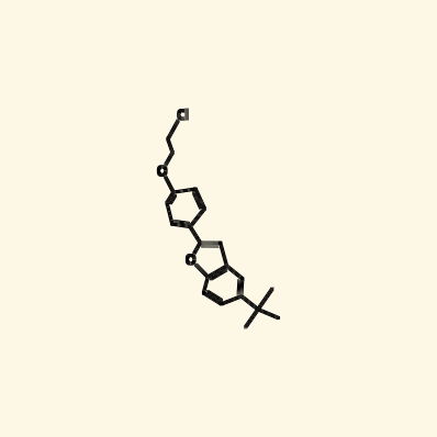 CC(C)(C)c1ccc2oc(-c3ccc(OCCCl)cc3)cc2c1